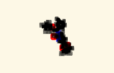 Cc1cccc(C(CO[Si](C)(C)C(C)(C)C)N2Cc3cc(B4OC(C)(C)C(C)(C)O4)cn3C2=O)c1